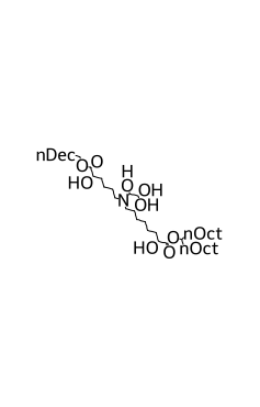 CCCCCCCCCCCOC(=O)C(O)CCCCN(CCCCCCC(O)C(=O)OC(CCCCCCCC)CCCCCCCC)C(O)C(O)O